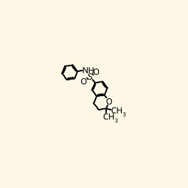 CC1(C)CCc2cc(S(=O)(=O)Nc3ccccc3)ccc2O1